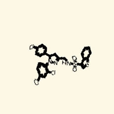 O=S(=O)(NCC1=NN(c2ccc(Cl)cc2Cl)C(c2ccc(Cl)cc2)C1)c1csc2ccccc12